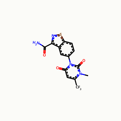 Cn1c(C(F)(F)F)cc(=O)n(-c2ccc3snc(C(N)=O)c3c2)c1=O